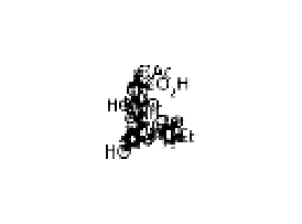 CCN1CCN(C(=O)NC(C(=O)N[C@]2(NO)C(=O)N3C(C(=O)O)=C(COC(C)=O)CS[C@@H]32)c2ccc(O)cc2)C(=O)C1=O